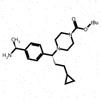 C[C@H](N)c1ccc([C@@H](CCC2CC2)N2CCN(C(=O)OC(C)(C)C)CC2)cc1